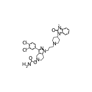 Cn1c(=O)n(C2CCN(CCCn3nc(-c4ccc(Cl)c(Cl)c4)c4c3CCN(OC(N)=O)C4)CC2)c2ccccc21